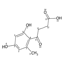 Cc1cc(O)cc(O)c1C(=O)CCC(=O)O